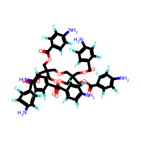 Nc1c(F)c(F)c(C(=O)OCC(COCC(COC(=O)c2c(F)c(F)c(N)c(F)c2F)(COC(=O)c2c(F)c(F)c(N)c(F)c2F)COC(=O)c2c(F)c(F)c(N)c(F)c2F)(COC(=O)c2c(F)c(F)c(N)c(F)c2F)COC(=O)c2c(F)c(F)c(N)c(F)c2F)c(F)c1F